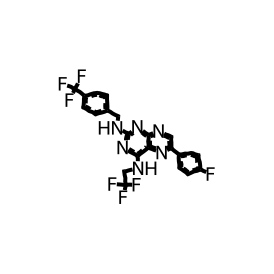 Fc1ccc(-c2cnc3nc(NCc4ccc(C(F)(F)F)cc4)nc(NCC(F)(F)F)c3n2)cc1